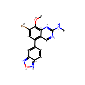 CNc1ncc2c(-c3ccc4nonc4c3)cc(Br)c(OC)c2n1